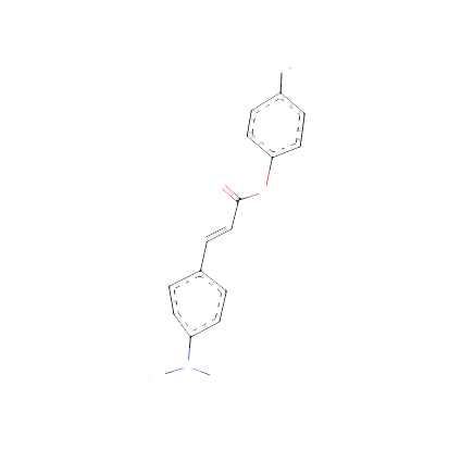 CCC(C)c1ccc(OC(=O)/C=C/c2ccc(N(C)C)cc2)cc1